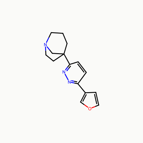 c1cc(-c2ccc(C34CCCN(CC3)C4)nn2)co1